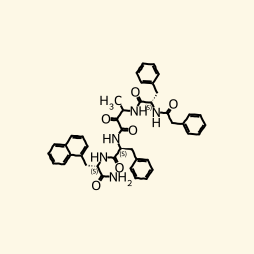 CC(NC(=O)[C@H](Cc1ccccc1)NC(=O)Cc1ccccc1)C(=O)C(=O)N[C@@H](Cc1ccccc1)C(=O)N[C@@H](Cc1cccc2ccccc12)C(N)=O